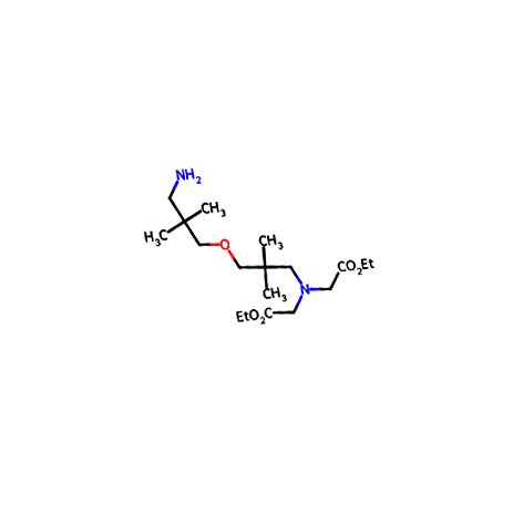 CCOC(=O)CN(CC(=O)OCC)CC(C)(C)COCC(C)(C)CN